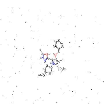 CCOC(=O)c1c(C)c(OCc2ccccc2)c(-c2nnc(C)o2)n1-c1ccc(OC)cc1